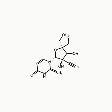 C#C[C@@]1(O)[C@H](O)[C@](CO)(CF)O[C@H]1N1C=CC(=O)NC1=C